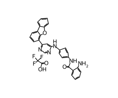 Nc1ccccc1C(=O)Nc1ccc(Nc2cc(-c3cccc4c3oc3ccccc34)ncn2)cc1.O=C(O)C(F)(F)F